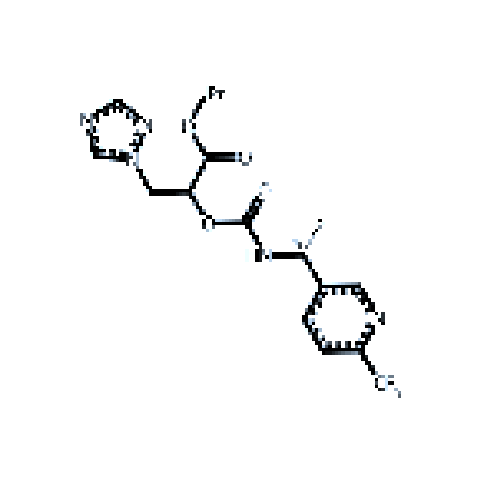 CC(C)OC(=O)C(Cn1cncn1)OC(=O)N[C@H](C)c1ccc(C(F)(F)F)nc1